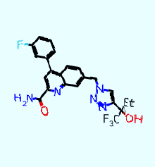 CC[C@](O)(c1cn(Cc2ccc3c(-c4cccc(F)c4)cc(C(N)=O)nc3c2)nn1)C(F)(F)F